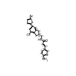 CC(=O)c1ccc(-c2cc(Cl)c3c(c2)C[C@@H](CNC(=O)/C=C/c2ccc(N)nc2)C3)s1